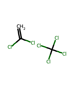 C=C(Cl)Cl.ClC(Cl)(Cl)Cl